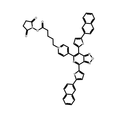 O=C(CCCC[n+]1ccc(-c2nc(-c3ccc(-c4ccc5ccccc5c4)s3)c3nonc3c2-c2ccc(-c3ccc4ccccc4c3)s2)cc1)ON1C(=O)CCC1=O